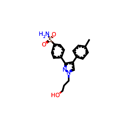 Cc1ccc(-c2cn(CCCO)nc2-c2ccc(S(N)(=O)=O)cc2)cc1